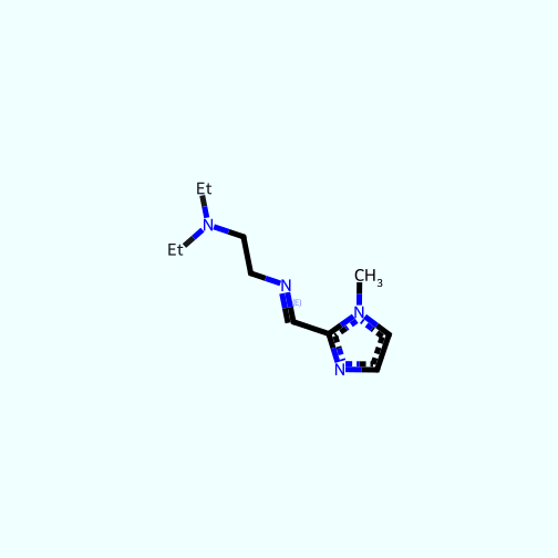 CCN(CC)CC/N=C/c1nccn1C